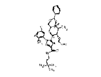 COCOC1C(C)[C@H]2OC(c3ccccc3)OCC2O[C@H]1c1nc(C(=O)NCC[Si](C)(C)C)nn1-c1cc(Cl)cnc1C(F)(F)F